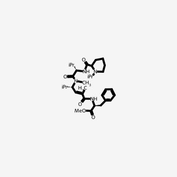 COC(=O)[C@H](Cc1ccccc1)NC(=O)/C(C)=C/[C@H](C(C)C)N(C)C(=O)[C@@H](NC(=O)C1CCCCN1C(C)C)C(C)C